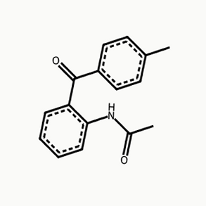 CC(=O)Nc1ccccc1C(=O)c1ccc(C)cc1